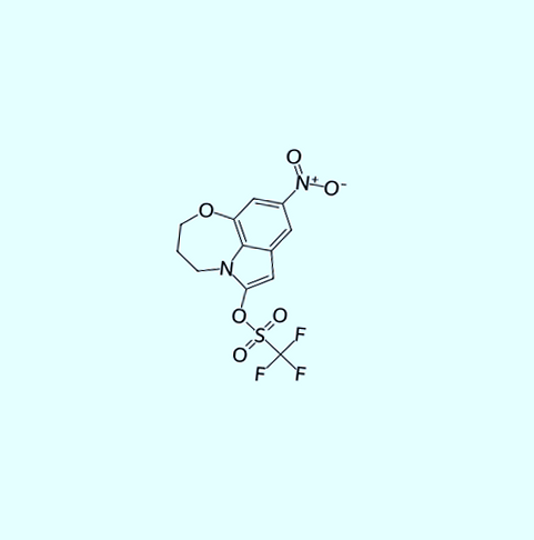 O=[N+]([O-])c1cc2c3c(c1)cc(OS(=O)(=O)C(F)(F)F)n3CCCO2